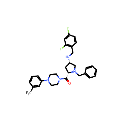 O=C([C@@H]1C[C@H](NCc2ccc(F)cc2F)CN1Cc1ccccc1)N1CCN(c2cccc(C(F)(F)F)c2)CC1